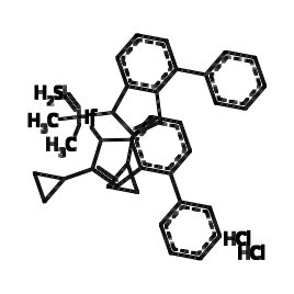 Cl.Cl.[CH3][Hf]([CH3])(=[SiH2])([CH]1C(C2CC2)=Cc2c(-c3ccccc3)cccc21)[CH]1C(C2CC2)=Cc2c(-c3ccccc3)cccc21